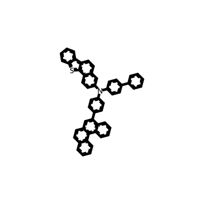 c1ccc(-c2ccc(N(c3ccc(-c4cc5ccc6ccccc6c5c5ccccc45)cc3)c3ccc4c(ccc5c6ccccc6sc45)c3)cc2)cc1